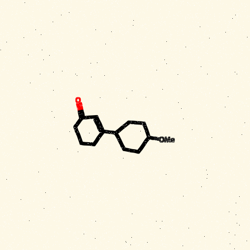 COC1CCC(C2=CC(=O)CCC2)CC1